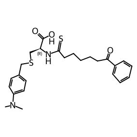 CN(C)c1ccc(CSC[C@H](NC(=S)CCCCCC(=O)c2ccccc2)C(=O)O)cc1